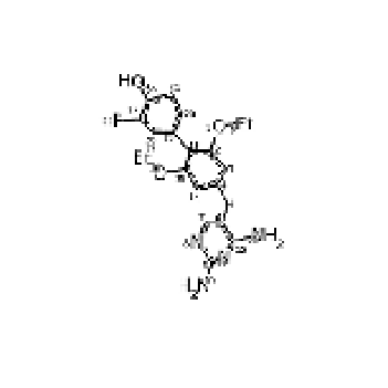 CCOc1cc(Cc2cnc(N)nc2N)cc(OCC)c1-c1ccc(O)c(F)c1